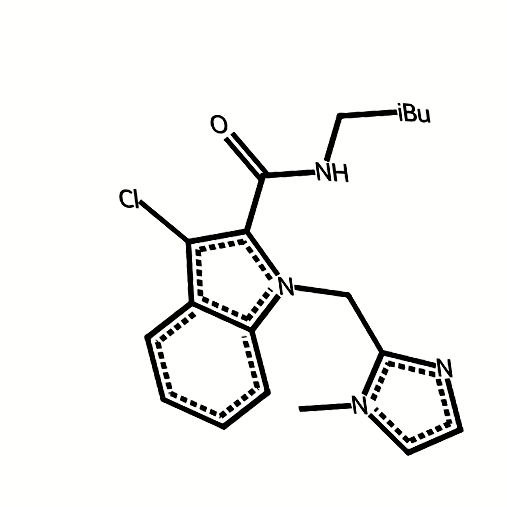 CCC(C)CNC(=O)c1c(Cl)c2ccccc2n1Cc1nccn1C